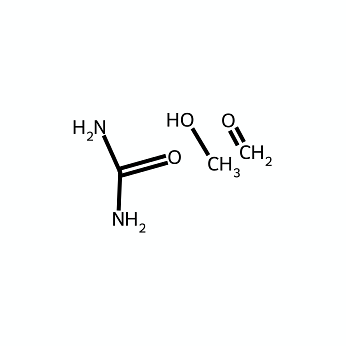 C=O.CO.NC(N)=O